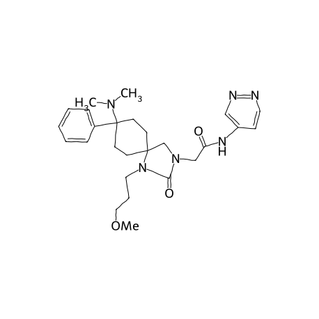 COCCCN1C(=O)N(CC(=O)Nc2ccnnc2)CC12CCC(c1ccccc1)(N(C)C)CC2